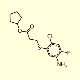 Nc1cc(SCCC(=O)OC2CCCC2)c(Cl)cc1F